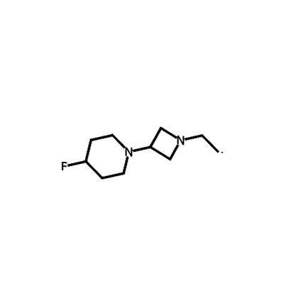 [CH2]CN1CC(N2CCC(F)CC2)C1